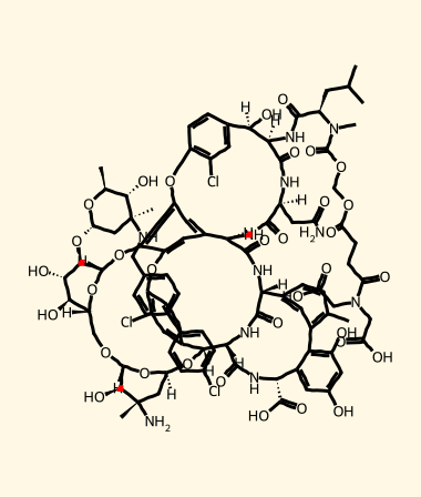 Cc1ccc2cc1-c1c(O)cc(O)cc1[C@H](C(=O)O)NC(=O)[C@H]1NC(=O)[C@@H]2NC(=O)[C@@H]2NC(=O)[C@H](CC(N)=O)NC(=O)[C@H](NC(=O)[C@@H](CC(C)C)N(C)C(=O)OCOC(=O)CCC(=O)N(CC(=O)O)CC(=O)O)[C@H](O)c3ccc(c(Cl)c3)Oc3cc2cc2c3O[C@@H]3O[C@H](CO[C@@H]4O[C@H](C[C@](C)(N)[C@H]4O)O[C@@H]1c1ccc(c(Cl)c1)O2)[C@@H](O)[C@H](O)[C@H]3O[C@H]1C[C@](C)(NCc2ccc(-c3ccc(Cl)cc3)cc2)[C@@H](O)[C@H](C)O1